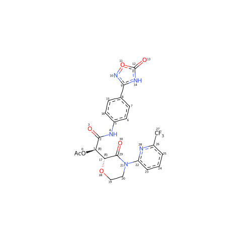 CC(=O)O[C@@H](C(=O)Nc1ccc(-c2noc(=O)[nH]2)cc1)[C@H]1OCCN(c2cccc(C(F)(F)F)n2)C1=O